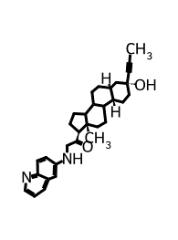 CC#C[C@@]1(O)CC[C@@H]2C3CC[C@@]4(C)C(CC[C@@H]4C(=O)CNc4ccc5ncccc5c4)C3CC[C@@H]2C1